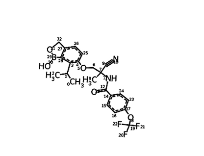 CC(C)c1c(OCC(C)(C#N)NC(=O)c2ccc(OC(F)(F)F)cc2)ccc2c1B(O)OC2